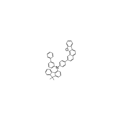 CC1(C)c2ccccc2-c2c(N(c3ccc(-c4ccc5ccc6c7ccccc7oc6c5c4)cc3)c3cccc(-c4ccccc4)c3)cccc21